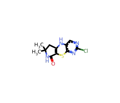 CC1(C)CC2=C(Sc3nc(Cl)ncc3N2)C(=O)N1